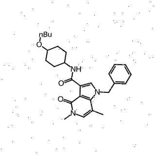 CCCCOC1CCC(NC(=O)c2cn(Cc3ccccc3)c3c(C)cn(C)c(=O)c23)CC1